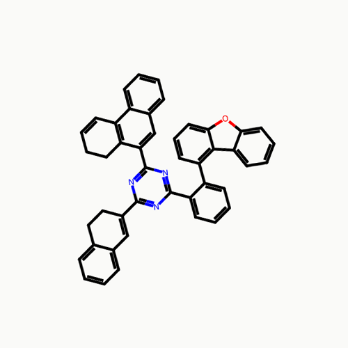 C1=Cc2c(c(-c3nc(C4=Cc5ccccc5CC4)nc(-c4ccccc4-c4cccc5oc6ccccc6c45)n3)cc3ccccc23)CC1